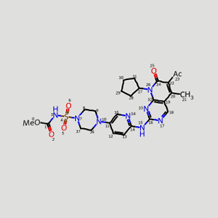 COC(=O)NS(=O)(=O)N1CCN(c2ccc(Nc3ncc4c(C)c(C(C)=O)c(=O)n(C5CCCC5)c4n3)nc2)CC1